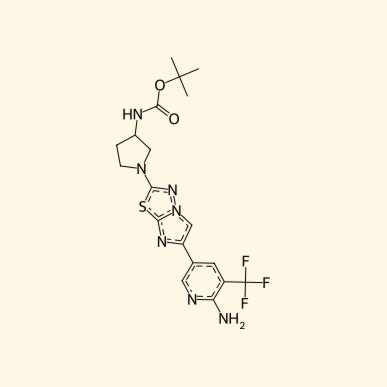 CC(C)(C)OC(=O)NC1CCN(c2nn3cc(-c4cnc(N)c(C(F)(F)F)c4)nc3s2)C1